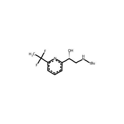 CC(C)(C)NC[C@@H](O)c1cccc(C(C)(F)F)n1